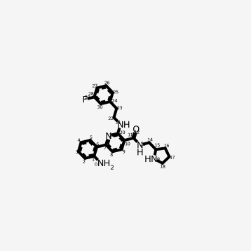 Nc1ccccc1-c1ccc(C(=O)NCC2CCCN2)c(NCCc2cccc(F)c2)n1